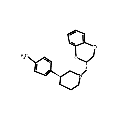 FC(F)(F)c1ccc([C@@H]2CCCN(C[C@H]3COc4ccccc4O3)C2)cc1